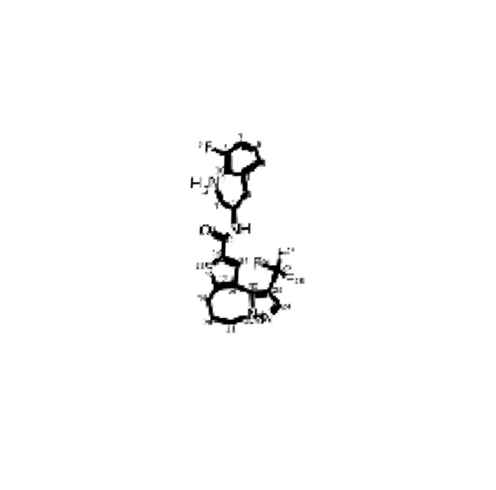 NCC(Cc1cccc(F)c1)NC(=O)c1cc2c(s1)CCCn1ncc(C(F)(F)F)c1-2